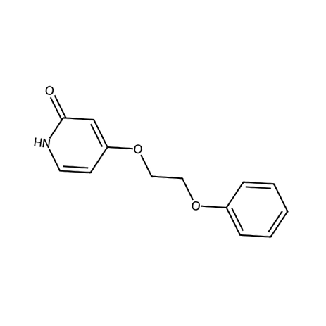 O=c1cc(OCCOc2ccccc2)cc[nH]1